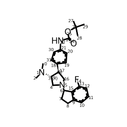 CN(C)[C@H]1CN(C2CCc3cccc(F)c32)C[C@@H]1c1ccc(NC(=O)OC(C)(C)C)cc1